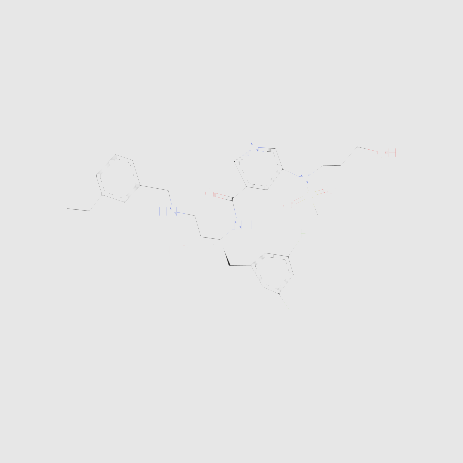 CCc1cccc(CNC[C@@H](O)[C@H](Cc2cc(F)cc(F)c2)NC(=O)c2cncc(N(CCCO)S(C)(=O)=O)c2)c1